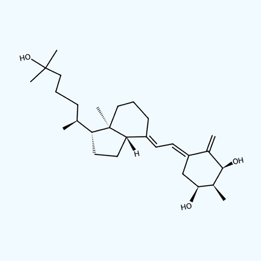 C=C1/C(=C/C=C2\CCC[C@]3(C)[C@@H]([C@@H](C)CCCC(C)(C)O)CC[C@@H]23)C[C@H](O)[C@H](C)[C@@H]1O